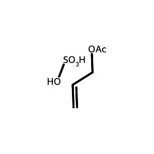 C=CCOC(C)=O.O=S(=O)(O)O